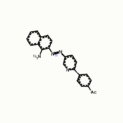 CC(=O)c1ccc(-c2ccc(/N=N/c3ccc4ccccc4c3N)cn2)cc1